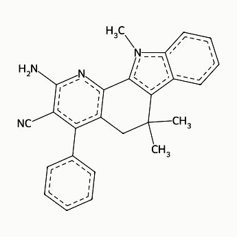 Cn1c2c(c3ccccc31)C(C)(C)Cc1c-2nc(N)c(C#N)c1-c1ccccc1